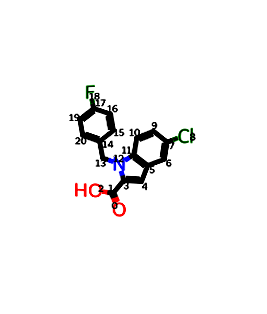 O=C(O)c1cc2cc(Cl)ccc2n1Cc1ccc(F)cc1